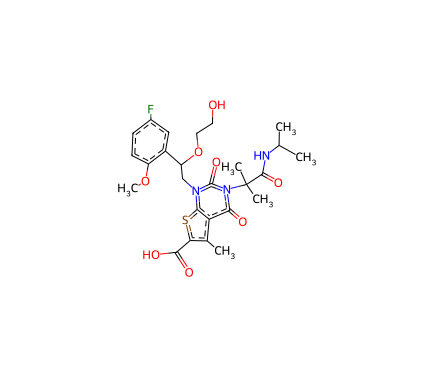 COc1ccc(F)cc1C(Cn1c(=O)n(C(C)(C)C(=O)NC(C)C)c(=O)c2c(C)c(C(=O)O)sc21)OCCO